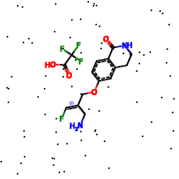 NC/C(=C\F)COc1ccc2c(c1)CCNC2=O.O=C(O)C(F)(F)F